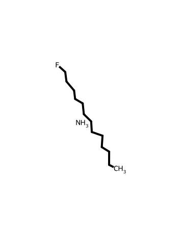 CCCCCCCCCCCCCF.N